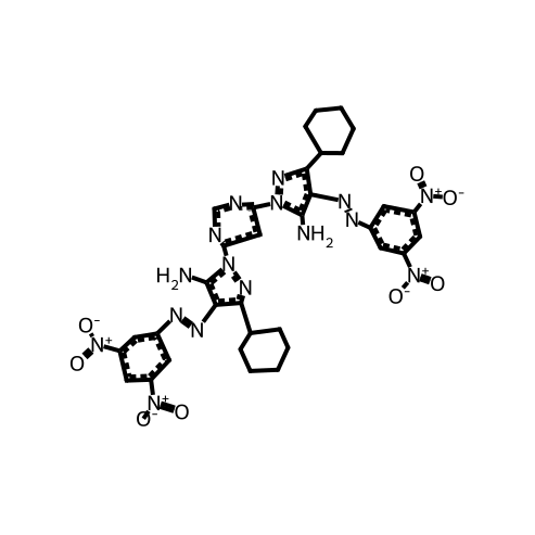 Nc1c(/N=N/c2cc([N+](=O)[O-])cc([N+](=O)[O-])c2)c(C2CCCCC2)nn1-c1cc(-n2nc(C3CCCCC3)c(/N=N/c3cc([N+](=O)[O-])cc([N+](=O)[O-])c3)c2N)ncn1